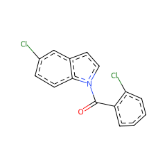 O=C(c1ccccc1Cl)n1ccc2cc(Cl)ccc21